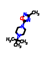 Cc1noc(N2CCN(C(C)(C)C)CC2)n1